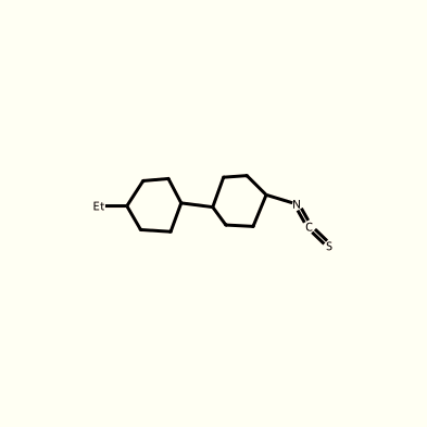 CCC1CCC(C2CCC(N=C=S)CC2)CC1